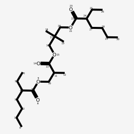 CCCCC(CC)C(=O)OCC(C)C(=O)OCC(C)(C)COC(=O)C(CC)CCCC